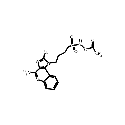 CCc1nc2c(N)nc3ccccc3c2n1CCCCS(=O)(=O)NOC(=O)C(F)(F)F